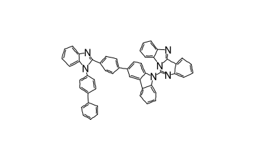 c1ccc(-c2ccc(-n3c(-c4ccc(-c5ccc6c(c5)c5ccccc5n6-c5nc6ccccc6c6nc7ccccc7n56)cc4)nc4ccccc43)cc2)cc1